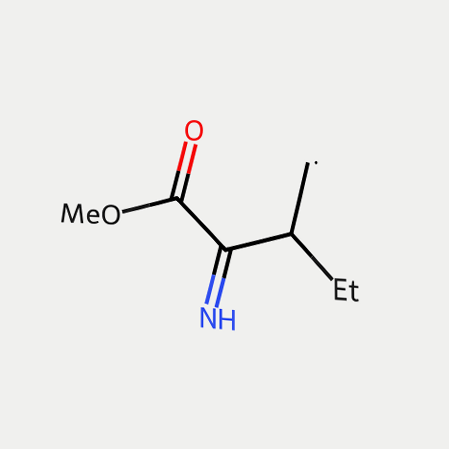 [CH2]C(CC)C(=N)C(=O)OC